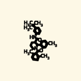 Cc1ccc(C2C(C(=O)Nc3cccc(C(C)(C)C)c3)CCCN2C(=O)c2c(C)cccc2C)cc1